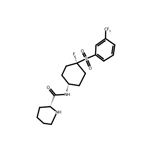 O=C(N[C@H]1CC[C@](F)(S(=O)(=O)c2cccc(C(F)(F)F)c2)CC1)[C@H]1CCCCN1